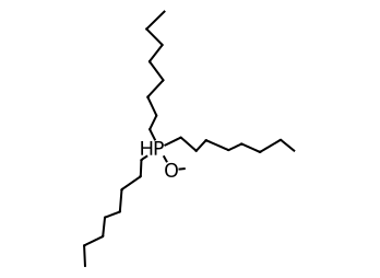 CCCCCCCC[PH](CCCCCCCC)(CCCCCCCC)OC